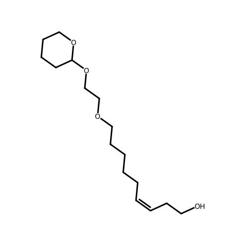 OCC/C=C\CCCCCOCCOC1CCCCO1